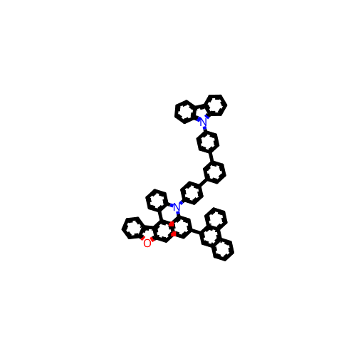 c1cc(-c2ccc(N(c3cccc(-c4cc5ccccc5c5ccccc45)c3)c3ccccc3-c3cccc4oc5ccccc5c34)cc2)cc(-c2ccc(-n3c4ccccc4c4ccccc43)cc2)c1